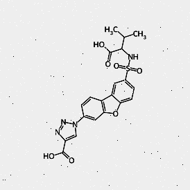 CC(C)C(NS(=O)(=O)c1ccc2oc3cc(-n4cc(C(=O)O)nn4)ccc3c2c1)C(=O)O